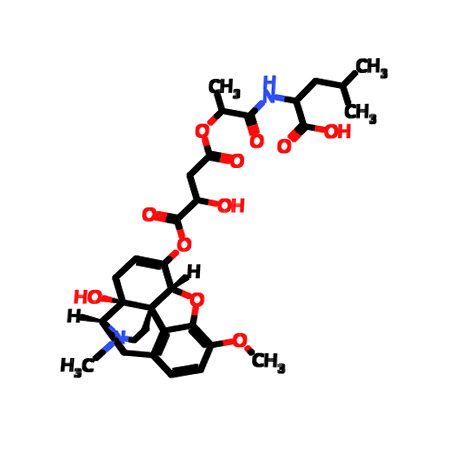 COc1ccc2c3c1O[C@H]1C(OC(=O)C(O)CC(=O)OC(C)C(=O)NC(CC(C)C)C(=O)O)=CC[C@@]4(O)[C@@H](C2)N(C)CC[C@]314